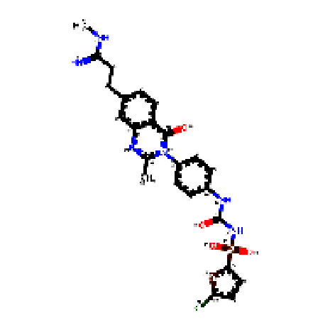 CNC(=N)CCc1ccc2c(=O)n(-c3ccc(NC(=O)NS(=O)(=O)c4ccc(Cl)s4)cc3)c(C)nc2c1